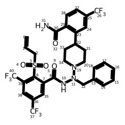 C=CCS(=O)(=O)c1c(C(=O)NN(Cc2ccccc2)N2CCC(c3cc(C(F)(F)F)ccc3C(N)=O)CC2)cc(C(F)(F)F)cc1C(F)(F)F